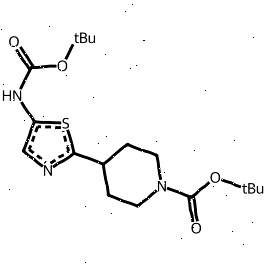 CC(C)(C)OC(=O)Nc1cnc(C2CCN(C(=O)OC(C)(C)C)CC2)s1